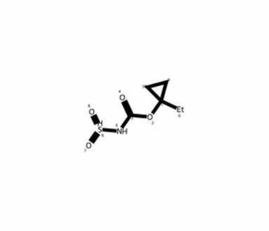 CCC1(OC(=O)N[SH](=O)=O)CC1